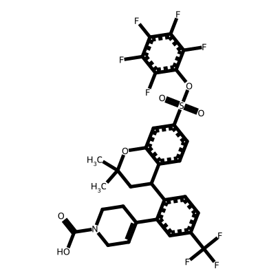 CC1(C)CC(c2ccc(C(F)(F)F)cc2C2=CCN(C(=O)O)CC2)c2ccc(S(=O)(=O)Oc3c(F)c(F)c(F)c(F)c3F)cc2O1